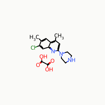 Cc1cc2c(C)cc(N3CCNCC3)nc2cc1Cl.O=C(O)C(=O)O